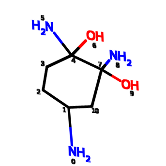 NC1CCC(N)(O)C(N)(O)C1